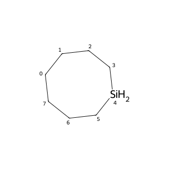 C1CCC[SiH2]CCC1